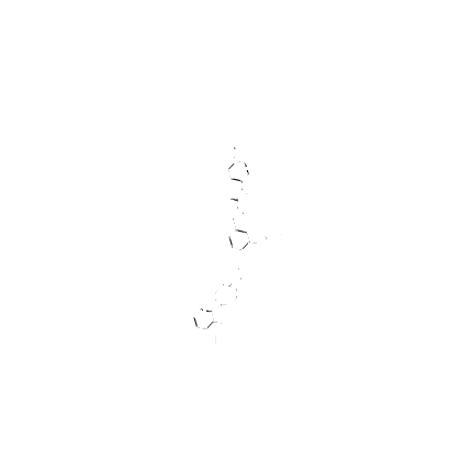 COc1ccc(NC(=O)NCc2ccc(OCCN3CCN(c4cccc(Cl)c4Cl)CC3)c(OC)c2)cc1